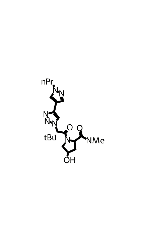 CCCn1cc(-c2cn([C@H](C(=O)N3CC(O)CC3C(=O)NC)C(C)(C)C)nn2)cn1